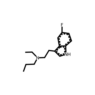 CCCN(CC)CCc1c[nH]c2ccc(F)cc12